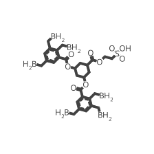 BCc1cc(CB)c(CB)c(C(=O)OC2CC(OC(=O)c3cc(CB)cc(CB)c3CB)CC(C(=O)OCCS(=O)(=O)O)C2)c1